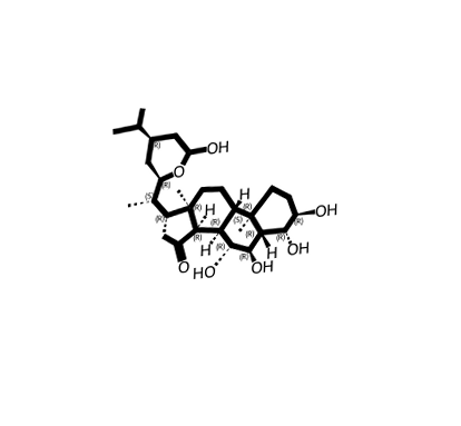 CC(C)[C@H]1CC(O)O[C@@H]([C@@H](C)[C@H]2CC(=O)[C@@H]3[C@@H]4[C@@H](O)[C@H](O)[C@H]5[C@@H](O)[C@H](O)CC[C@]5(C)[C@H]4CC[C@]23C)C1